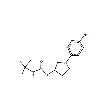 CC(C)(C)NC(=O)OC1CCN(c2ccc(N)cn2)C1